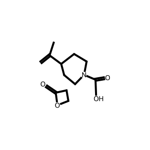 C=C(C)C1CCN(C(=O)O)CC1.O=C1CCO1